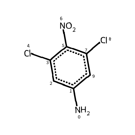 Nc1cc(Cl)c([N+](=O)[O-])c(Cl)c1